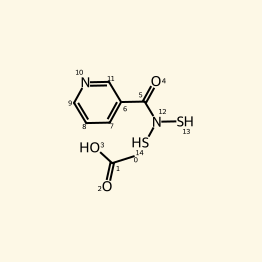 CC(=O)O.O=C(c1cccnc1)N(S)S